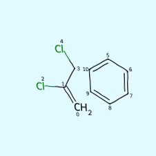 C=C(Cl)CCl.c1ccccc1